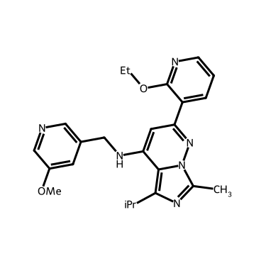 CCOc1ncccc1-c1cc(NCc2cncc(OC)c2)c2c(C(C)C)nc(C)n2n1